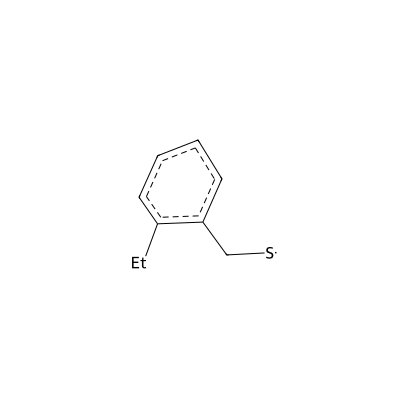 CCc1ccccc1C[S]